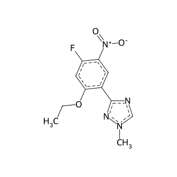 CCOc1cc(F)c([N+](=O)[O-])cc1-c1ncn(C)n1